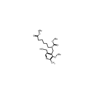 CCCCOC(=O)CCCCCN(Cc1c(CO)cnc(C)c1OCCCC)C(=O)OC(C)(C)C